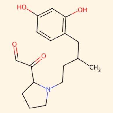 CC(CCN1CCCC1C(=O)C=O)Cc1ccc(O)cc1O